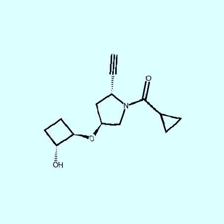 C#C[C@H]1C[C@H](O[C@@H]2CC[C@H]2O)CN1C(=O)C1CC1